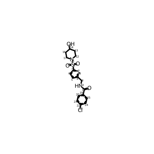 O=C(NCc1ccc(S(=O)(=O)N2CCC(O)CC2)s1)c1ccc(Cl)cc1